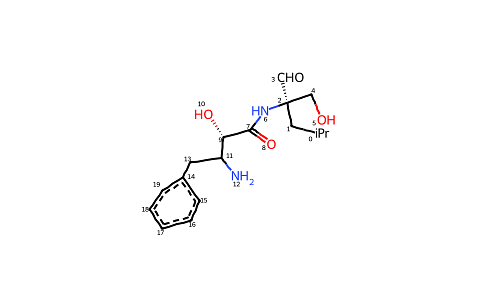 CC(C)C[C@](C=O)(CO)NC(=O)[C@@H](O)C(N)Cc1ccccc1